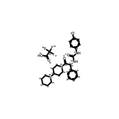 O=C(Nc1ccc(Cl)cc1)N[C@@H](C(=O)N1CCC(N2CCCCC2)CC1)c1ccccc1.O=C(O)C(F)(F)F